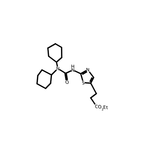 CCOC(=O)CCc1cnc(NC(=O)N(C2CCCCC2)C2CCCCC2)s1